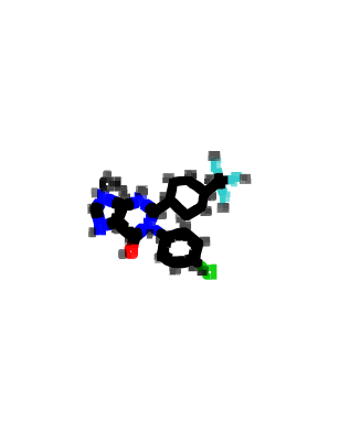 Cn1cnc2c(=O)n(-c3ccc(Cl)cc3)c(C3CCC(C(F)(F)F)CC3)nc21